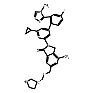 Cn1cnnc1-c1cc(F)ccc1-c1cc(C2CC2)nc(N2Cc3c(cc(COC[C@@H]4CCNC4)cc3C(F)(F)F)C2=O)c1